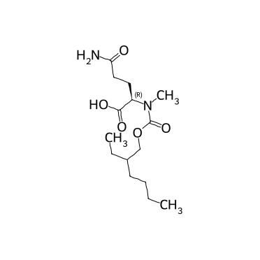 CCCCC(CC)COC(=O)N(C)[C@H](CCC(N)=O)C(=O)O